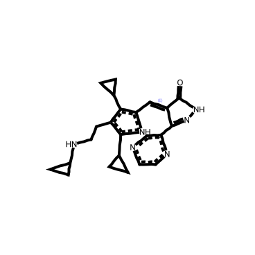 O=C1NN=C(c2cnccn2)/C1=C\c1[nH]c(C2CC2)c(CCNC2CC2)c1C1CC1